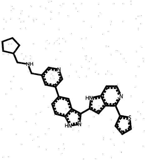 c1csc(-c2nccc3[nH]c(-c4n[nH]c5ccc(-c6cncc(CNCC7CCCC7)c6)cc45)cc23)c1